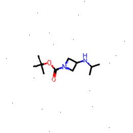 CC(C)NC1CN(C(=O)OC(C)(C)C)C1